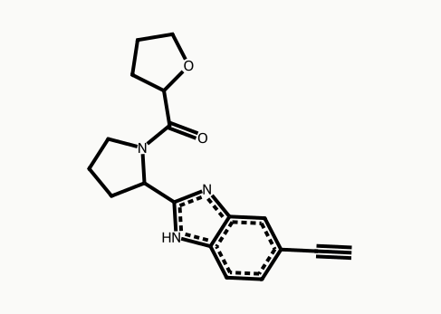 C#Cc1ccc2[nH]c(C3CCCN3C(=O)C3CCCO3)nc2c1